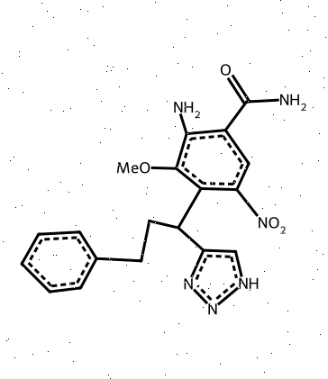 COc1c(N)c(C(N)=O)cc([N+](=O)[O-])c1C(CCc1ccccc1)c1c[nH]nn1